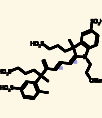 C=C(/C=C/C=C1/N(CCOC)c2ccc(S(=O)(=O)O)cc2C1(C)CCCS(=O)(=O)O)C(C)(CCCS(=O)(=O)O)c1cc(S(=O)(=O)O)ccc1C